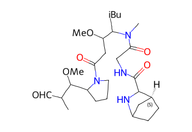 CCC(C)C(C(CC(=O)N1CCCC1C(OC)C(C)C=O)OC)N(C)C(=O)CNC(=O)C1NC2CC[C@H]1C2